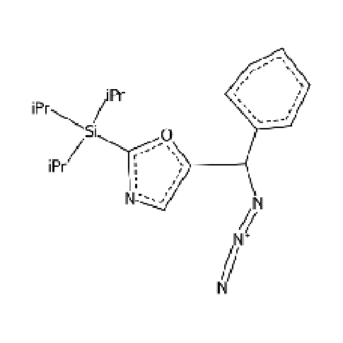 CC(C)[Si](c1ncc(C(N=[N+]=[N-])c2ccccc2)o1)(C(C)C)C(C)C